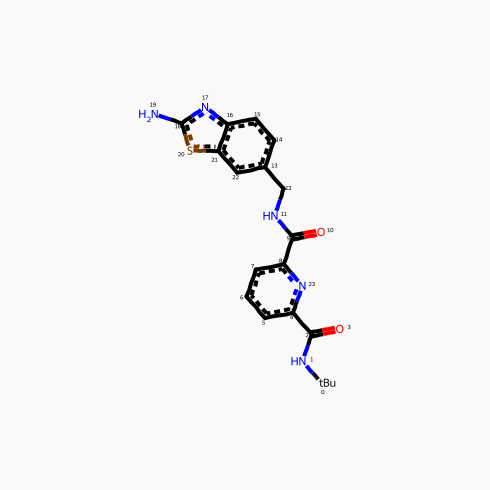 CC(C)(C)NC(=O)c1cccc(C(=O)NCc2ccc3nc(N)sc3c2)n1